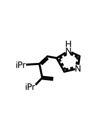 C=C(/C(=C\c1cnc[nH]1)C(C)C)C(C)C